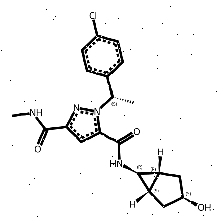 CNC(=O)c1cc(C(=O)N[C@H]2[C@@H]3C[C@@H](O)C[C@@H]32)n([C@@H](C)c2ccc(Cl)cc2)n1